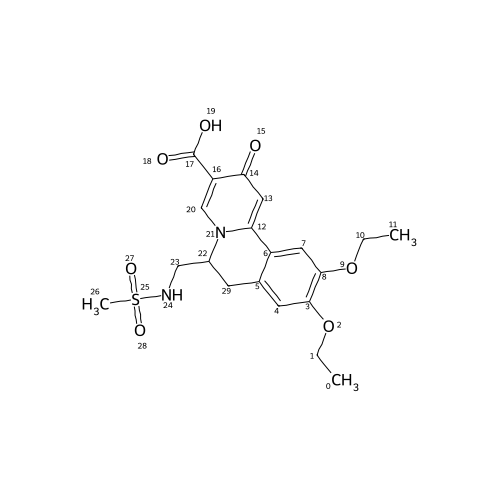 CCOc1cc2c(cc1OCC)-c1cc(=O)c(C(=O)O)cn1C(CNS(C)(=O)=O)C2